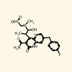 CC(c1c(C(N)=O)c(=O)[nH]c2cc(Cc3ccc(F)cc3)cnc12)C(O)N(C)C[SH](=O)=O